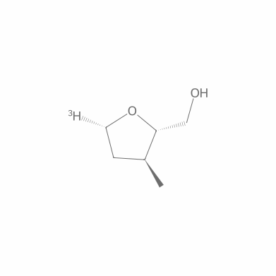 [3H][C@H]1C[C@H](C)[C@@H](CO)O1